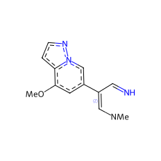 CN/C=C(\C=N)c1cc(OC)c2ccnn2c1